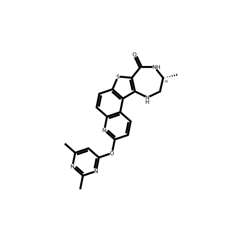 Cc1cc(Oc2ccc3c(ccc4sc5c(c43)NC[C@@H](C)NC5=O)n2)nc(C)n1